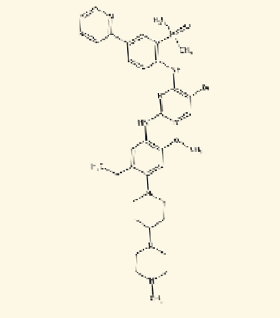 CCc1cc(Nc2ncc(Br)c(Nc3ccc(-c4cnccn4)cc3P(C)(C)=O)n2)c(OC)cc1N1CCC(N2CCN(C)CC2)CC1